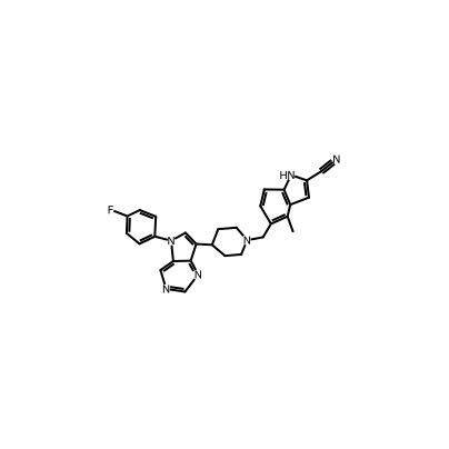 Cc1c(CN2CCC(c3cn(-c4ccc(F)cc4)c4cncnc34)CC2)ccc2[nH]c(C#N)cc12